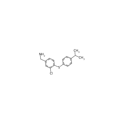 CC(C)c1ccc(Sc2ccc(CN)cc2Cl)cc1